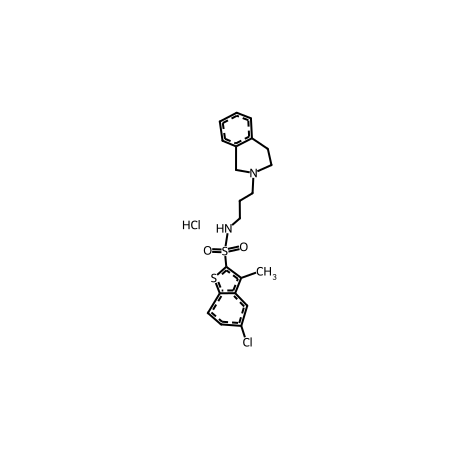 Cc1c(S(=O)(=O)NCCCN2CCc3ccccc3C2)sc2ccc(Cl)cc12.Cl